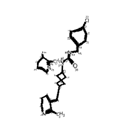 Cc1ncccc1CC1CC2(C1)CC(NC(=O)NCc1ccc(Cl)cc1)C2.Cc1ncccc1I